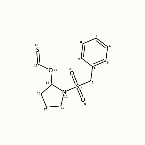 O=S(=O)(Cc1ccccc1)N1CCCC1OC=S